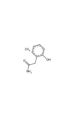 C.NC(=O)Cc1ccccc1O